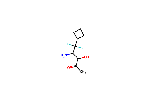 CC(=O)C(O)C(N)C(F)(F)C1CCC1